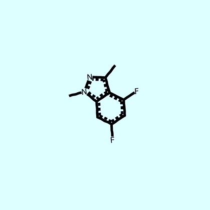 Cc1nn(C)c2cc(F)cc(F)c12